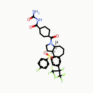 NC(=O)NC(=O)C1CCC(C(=O)N2CC[C@]3(S(=O)(=O)c4ccc(F)cc4)c4ccc(C(F)(C(F)(F)F)C(F)(F)F)cc4CCC[C@H]23)CC1